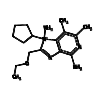 CCOCC1=Nc2c(N)nc(C)c(C)c2[N+]1(N)C1CCCC1